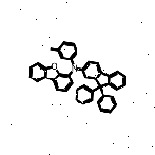 Cc1cccc(N(c2ccc3c(c2)C(c2ccccc2)(c2ccccc2)c2ccccc2-3)c2cccc3c2oc2ccccc23)c1